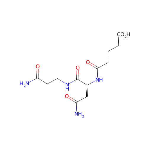 NC(=O)CCNC(=O)[C@H](CC(N)=O)NC(=O)CCCC(=O)O